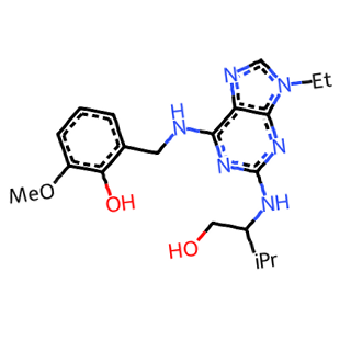 CCn1cnc2c(NCc3cccc(OC)c3O)nc(NC(CO)C(C)C)nc21